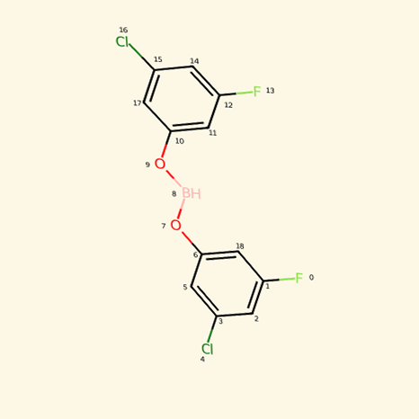 Fc1cc(Cl)cc(OBOc2cc(F)cc(Cl)c2)c1